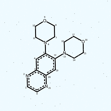 c1cnc2cc(N3CCOCC3)c(N3CCOCC3)cc2n1